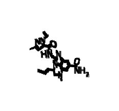 C=CCC1CN(C)c2cc(C(N)=O)cc3nc(NC(=O)c4cc(C)nn4CC)n1c23